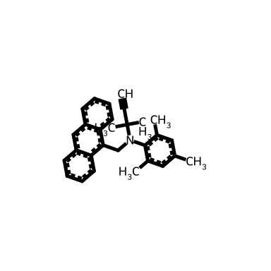 C#CC(C)(C)N(Cc1c2ccccc2cc2ccccc12)c1c(C)cc(C)cc1C